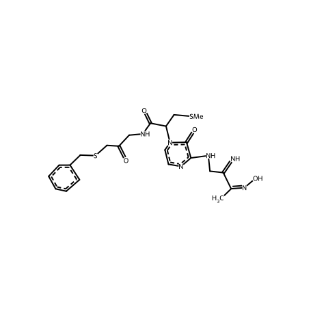 CSCC(C(=O)NCC(=O)CSCc1ccccc1)n1ccnc(NCC(=N)/C(C)=N\O)c1=O